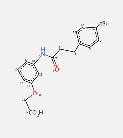 CC(C)(C)c1ccc(CCC(=O)Nc2cccc(OCC(=O)O)c2)cc1